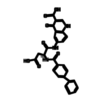 O=C(O)C[C@H](NC(=O)c1ccc(-c2ccccc2)cc1)C(=O)Nc1ccc2[nH]cc(C(=O)O)c(=O)c2c1